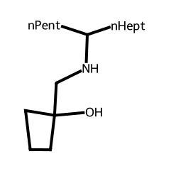 CCCCCCCC(CCCCC)NCC1(O)CCC1